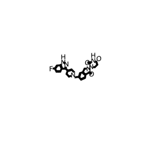 O=C1CCN(N2Cc3cc(CN4CC=C(c5n[nH]c6cc(F)ccc56)CC4)ccc3C2=O)C(=O)N1